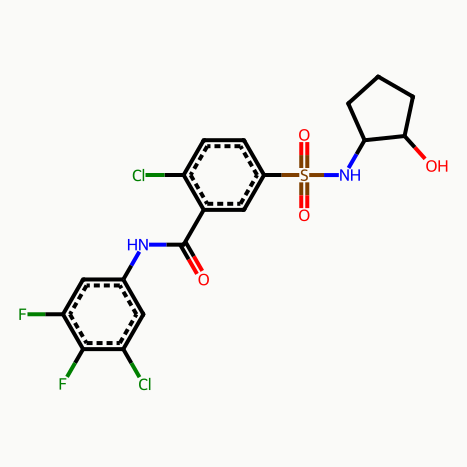 O=C(Nc1cc(F)c(F)c(Cl)c1)c1cc(S(=O)(=O)NC2CCCC2O)ccc1Cl